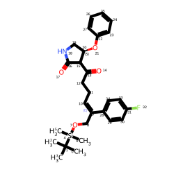 CC(C)(C)[Si](C)(C)OC/C(=C/CCC(=O)C1C(=O)NC[C@H]1Oc1ccccc1)c1ccc(F)cc1